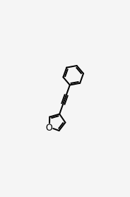 C(#Cc1ccoc1)c1ccccc1